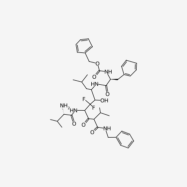 CC(C)CC(NC(=O)[C@H](Cc1ccccc1)NC(=O)OCc1ccccc1)C(O)C(F)(F)C(NC(=O)[C@@H](N)C(C)C)C(=O)C(C(=O)NCc1ccccc1)C(C)C